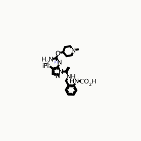 C=C(NCc1ccccc1NC(=O)O)n1ncc(C(C)C)c1/N=C(\N)OC1CCN(C)CC1